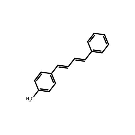 Cc1ccc(C=CC=Cc2ccccc2)cc1